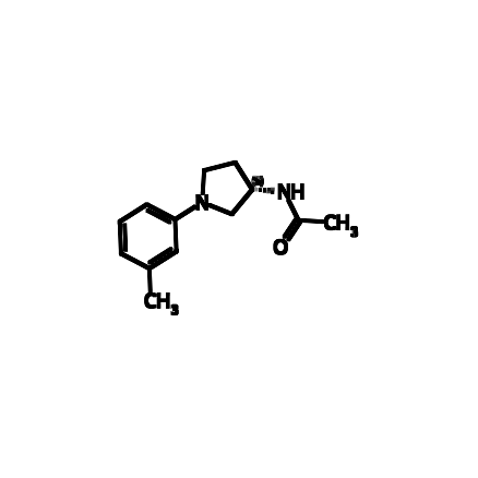 CC(=O)N[C@H]1CCN(c2cccc(C)c2)C1